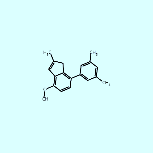 COc1ccc(-c2cc(C)cc(C)c2)c2c1C=C(C)C2